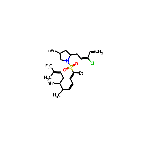 C=C/C(Cl)=C\CC1CC(CCC)CN1S(=O)(=O)/C(=C/C=C\C(C)C(C/C=C(\C)C(F)(F)F)CCC)CC